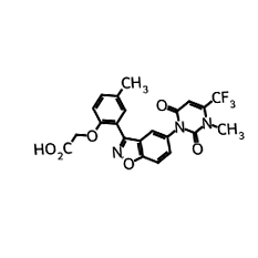 Cc1ccc(OCC(=O)O)c(-c2noc3ccc(-n4c(=O)cc(C(F)(F)F)n(C)c4=O)cc23)c1